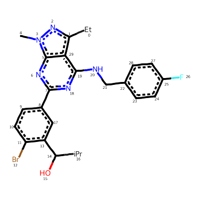 CCc1nn(C)c2nc(-c3ccc(Br)c(C(O)C(C)C)c3)nc(NCc3ccc(F)cc3)c12